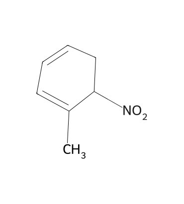 CC1=CC=CCC1[N+](=O)[O-]